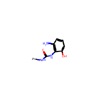 CC(C)NC(=O)Nc1c(N)cccc1O